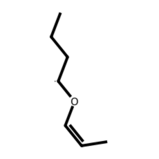 C/C=C\O[CH]CCC